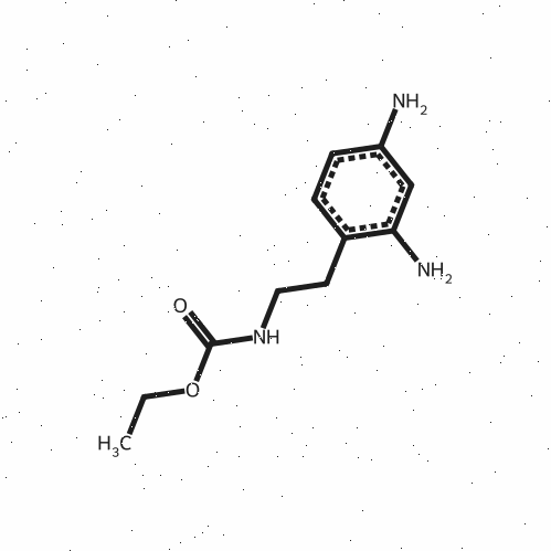 CCOC(=O)NCCc1ccc(N)cc1N